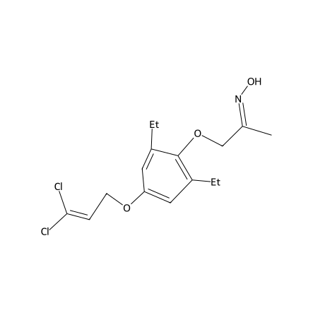 CCc1cc(OCC=C(Cl)Cl)cc(CC)c1OCC(C)=NO